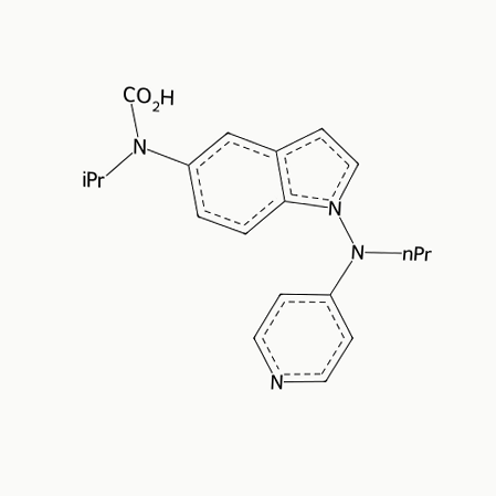 CCCN(c1ccncc1)n1ccc2cc(N(C(=O)O)C(C)C)ccc21